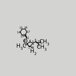 C=CC(C)(CCC=C(C)C)OC=C1CCCCC1